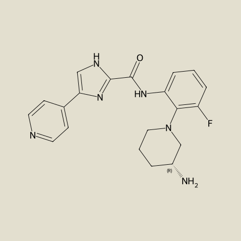 N[C@@H]1CCCN(c2c(F)cccc2NC(=O)c2nc(-c3ccncc3)c[nH]2)C1